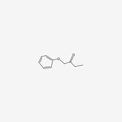 CCC(=O)COc1[c]cccc1